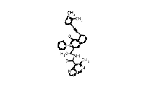 Cc1ncn2ccnc2c1C(=O)N[C@H](C)c1cc2cccc(C#Cc3cnn(C)c3C)c2c(=O)n1-c1ccccc1